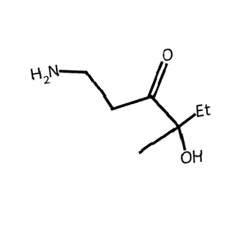 CCC(C)(O)C(=O)CCN